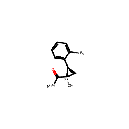 CNC(=O)[C@]1(C#N)C=C1c1ccccc1C(F)(F)F